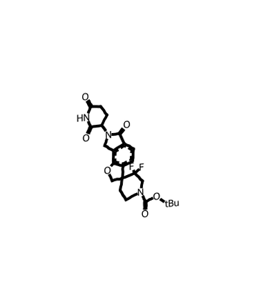 CC(C)(C)OC(=O)N1CCC2(COc3c2ccc2c3CN(C3CCC(=O)NC3=O)C2=O)C(F)(F)C1